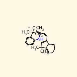 C/C=C(\C=C/C1=CC(C)(C)C2=CCCC=C12)Nc1ccccc1C(C)(C)C